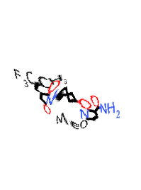 COc1ccc(C(N)=O)c(OC2CC3(C2)CC(N2C(=O)C[C@@H](CC(C)C(F)(F)F)C2=O)C3)n1